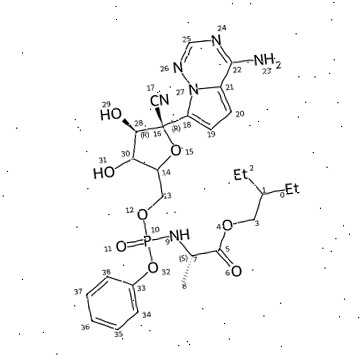 CCC(CC)COC(=O)[C@H](C)NP(=O)(OCC1O[C@@](C#N)(c2ccc3c(N)ncnn23)[C@H](O)C1O)Oc1ccccc1